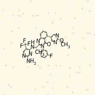 COc1ncc(-c2cccc3nc([C@H](C)Nc4nc(N)ncc4C(F)(F)F)n(-c4cccc(F)c4)c(=O)c23)cn1